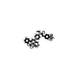 CCN(C(=O)Cc1ccc(S(C)(=O)=O)cc1)C1CCN(CCC(c2ccccc2)N(C(=O)O)N2CCSCC2)CC1